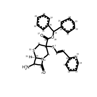 NC1C(=O)N2CC(SC=Cc3ccccn3)(C(=O)OC(c3ccccc3)c3ccccc3)CS[C@H]12